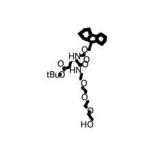 CC(C)(C)OC(=O)CC[C@H](NC(=O)OCC1c2ccccc2-c2ccccc21)C(=O)NCCOCCOCCOCCO